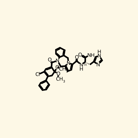 COC1(OC)CC(c2ccccc2)=C(Cl)C=C1C(=O)N1Cc2ccc(C(=O)N[C@@H](Cc3c[nH]cn3)C(N)=O)n2Cc2ccccc21